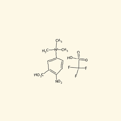 C[N+](C)(C)c1ccc([N+](=O)[O-])c(C(=O)O)c1.O=S(=O)(O)C(F)(F)F